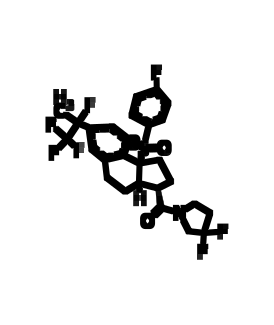 CC(F)(c1ccc2c(c1)CC[C@H]1[C@H](C(=O)N3CCC(F)(F)C3)CC[C@@]21S(=O)(=O)c1ccc(F)cc1)C(F)(F)F